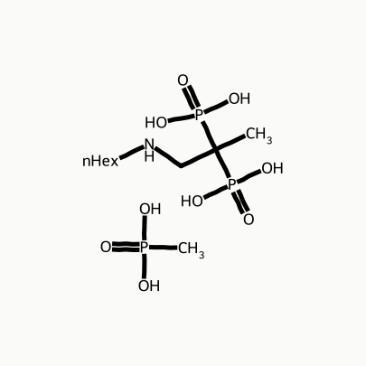 CCCCCCNCC(C)(P(=O)(O)O)P(=O)(O)O.CP(=O)(O)O